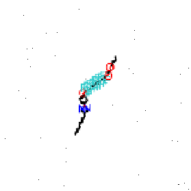 CCCCCCCCc1cnc(-c2ccc(OC(F)(F)C(F)(F)C(F)(F)C(F)(F)C(F)(F)C(F)(F)C(F)(F)C(F)(F)OCCOCCCC)cc2)nc1